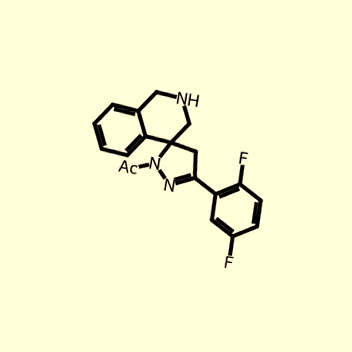 CC(=O)N1N=C(c2cc(F)ccc2F)CC12CNCc1ccccc12